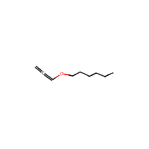 C=C=COCCCCCC